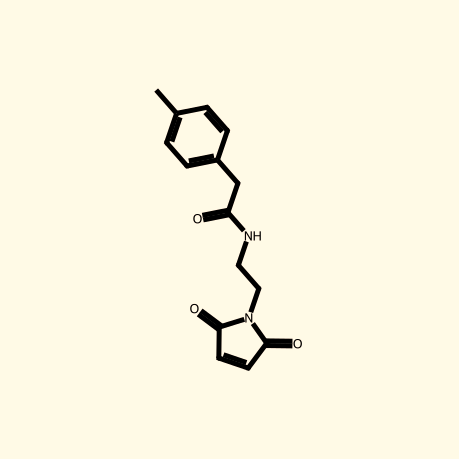 Cc1ccc(CC(=O)NCCN2C(=O)C=CC2=O)cc1